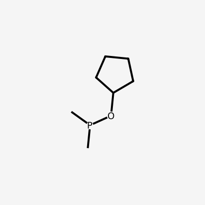 CP(C)OC1CCCC1